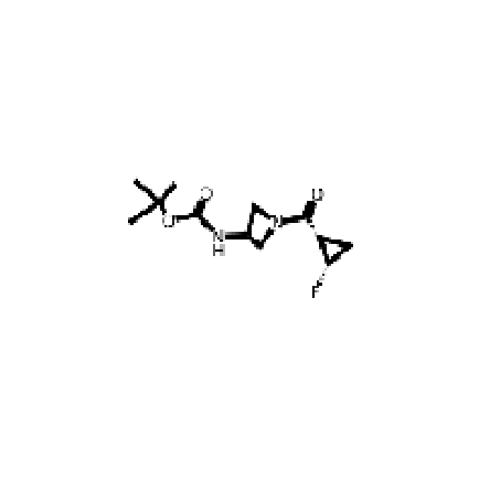 CC(C)(C)OC(=O)NC1CN(C(=O)[C@@H]2C[C@@H]2F)C1